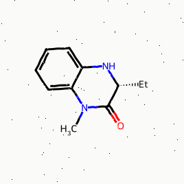 CC[C@H]1Nc2ccccc2N(C)C1=O